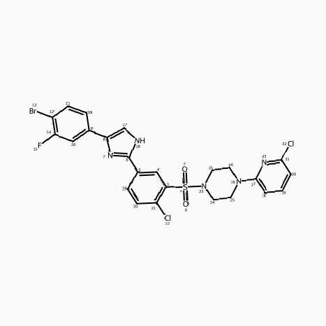 O=S(=O)(c1cc(-c2nc(-c3ccc(Br)c(F)c3)c[nH]2)ccc1Cl)N1CCN(c2cccc(Cl)n2)CC1